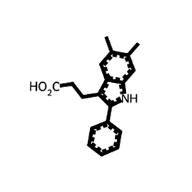 Cc1cc2[nH]c(-c3ccccc3)c(CCC(=O)O)c2cc1C